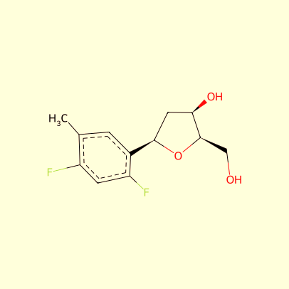 Cc1cc([C@H]2C[C@@H](O)[C@@H](CO)O2)c(F)cc1F